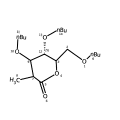 CCCCOCC1OC(=O)C(C)C(OCCCC)[C@@H]1OCCCC